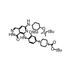 COc1cc(N2CCN(C(=O)OC(C)(C)C)CC2)ccc1Nc1nc(N[C@H]2CC[C@H](O[Si](C)(C)C(C)(C)C)CC2)cc2cn[nH]c(=O)c12